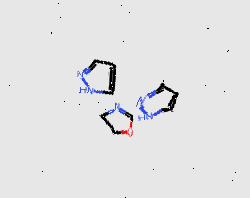 C1=NCCO1.c1cn[nH]c1.c1cn[nH]c1